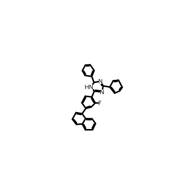 Fc1cc(-c2cccc3ccccc23)ccc1C1=NC(c2ccccc2)=NC(c2ccccc2)N1